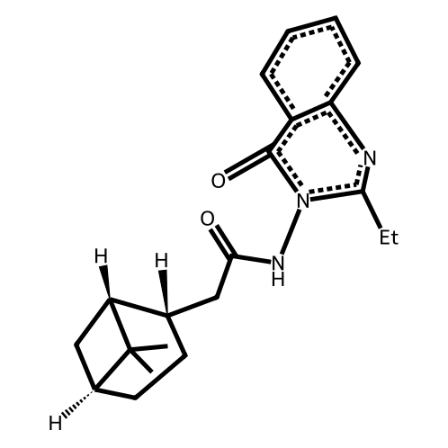 CCc1nc2ccccc2c(=O)n1NC(=O)C[C@@H]1CC[C@H]2C[C@H]1C2(C)C